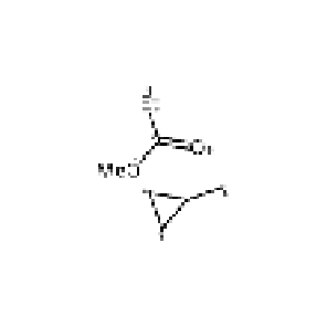 CC1CC1.CCC(=O)OC